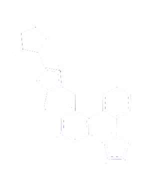 CCCCc1cn(C2CCCC2CC)c(=O)n1Cc1cnccc1-c1ccccc1-c1nnn[nH]1